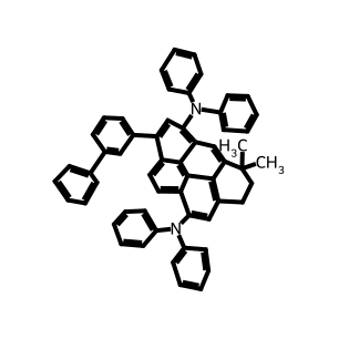 CC1(C)CCc2cc(N(c3ccccc3)c3ccccc3)c3ccc4c(-c5cccc(-c6ccccc6)c5)cc(N(c5ccccc5)c5ccccc5)c5cc1c2c3c45